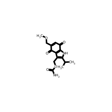 COCC1=CC(=O)c2[nH]c(C(C)C)c(COC(N)=O)c2C1=O